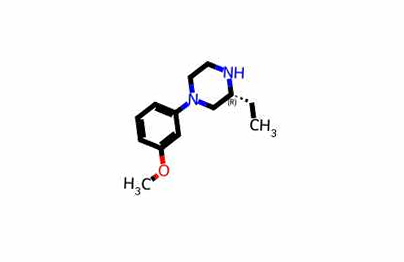 CC[C@@H]1CN(c2cccc(OC)c2)CCN1